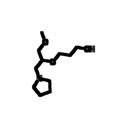 COCC(CN1CCCC1)OCCCO